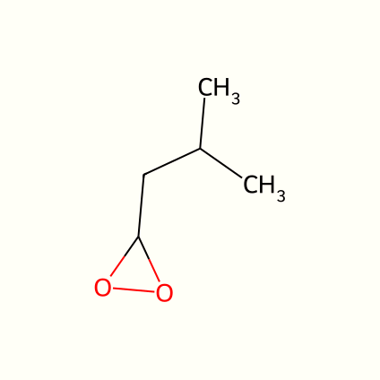 CC(C)CC1OO1